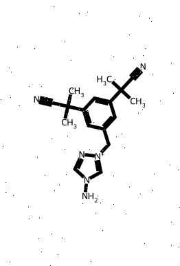 CC(C)(C#N)c1cc(C[n+]2cn(N)cn2)cc(C(C)(C)C#N)c1